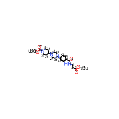 CC(C)(C)OC(=O)CCNC(=O)c1ccc(N2CCN(C3CCN(C(=O)OC(C)(C)C)CC3)CC2)cc1